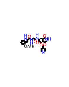 COc1cccc2[nH]c(C(=O)NCC(=O)N[C@@H](C[C@@H]3CCCNC3=O)C(=O)COC(=O)c3ccncc3)cc12